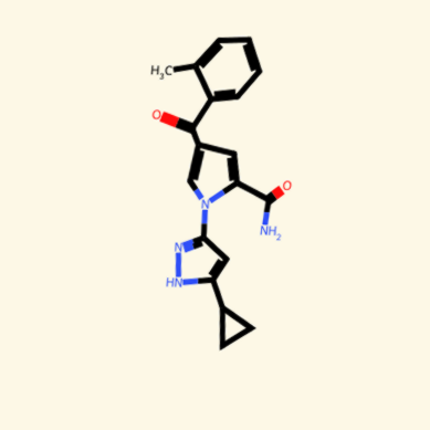 Cc1ccccc1C(=O)c1cc(C(N)=O)n(-c2cc(C3CC3)[nH]n2)c1